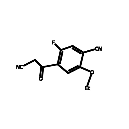 CCOc1cc(C(=O)CC#N)c(F)cc1C#N